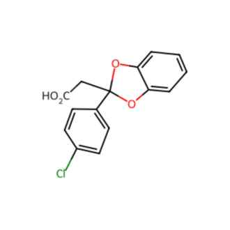 O=C(O)CC1(c2ccc(Cl)cc2)Oc2ccccc2O1